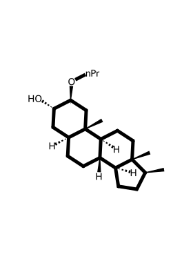 CCCO[C@H]1C[C@@]2(C)[C@@H](CC[C@@H]3[C@@H]2CC[C@]2(C)[C@@H](C)CC[C@@H]32)C[C@@H]1O